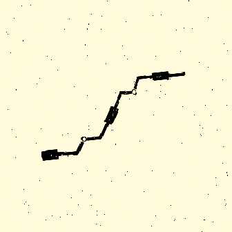 C#CCOCC#CCOCC#CC